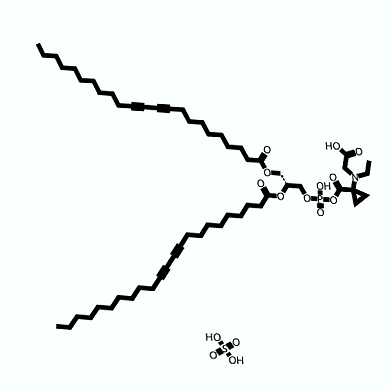 CCCCCCCCCCC#CC#CCCCCCCCCC(=O)OC[C@H](COP(=O)(O)OC(=O)C1(N(CC)CC(=O)O)CC1)OC(=O)CCCCCCCCC#CC#CCCCCCCCCCC.O=S(=O)(O)O